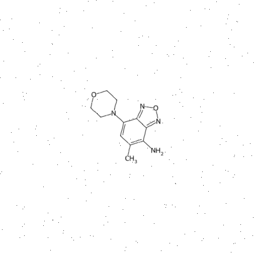 Cc1cc(N2CCOCC2)c2nonc2c1N